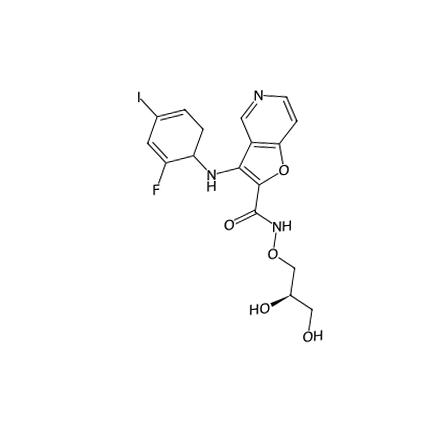 O=C(NOC[C@H](O)CO)c1oc2ccncc2c1NC1CC=C(I)C=C1F